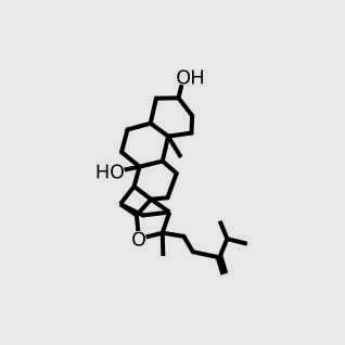 C=C(CCC1(C)OC2C3CC1C21CCC2C4(C)CCC(O)CC4CCC2(O)C31)C(C)C